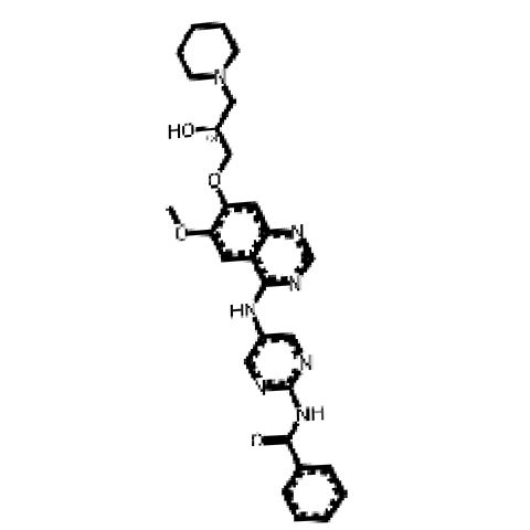 COc1cc2c(Nc3cnc(NC(=O)c4ccccc4)nc3)ncnc2cc1OC[C@@H](O)CN1CCCCC1